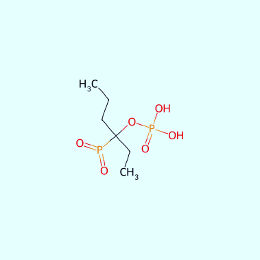 CCCC(CC)(OP(=O)(O)O)P(=O)=O